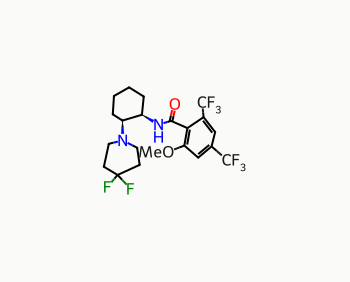 COc1cc(C(F)(F)F)cc(C(F)(F)F)c1C(=O)N[C@@H]1CCCC[C@@H]1N1CCC(F)(F)CC1